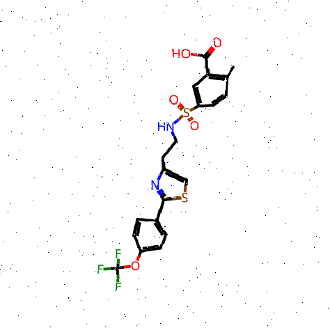 Cc1ccc(S(=O)(=O)NCCc2csc(-c3ccc(OC(F)(F)F)cc3)n2)cc1C(=O)O